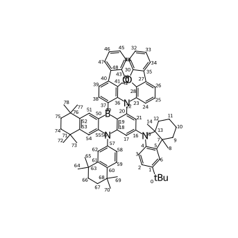 CC(C)(C)c1ccc2c(c1)C1(C)CCCCC1(C)N2c1cc2c3c(c1)N(c1cccc4c1oc1ccccc14)c1c(ccc4c1oc1ccccc14)B3c1cc3c(cc1N2c1ccc2c(c1)C(C)(C)CCC2(C)C)C(C)(C)CCC3(C)C